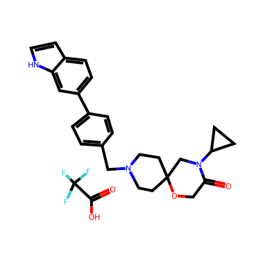 O=C(O)C(F)(F)F.O=C1COC2(CCN(Cc3ccc(-c4ccc5cc[nH]c5c4)cc3)CC2)CN1C1CC1